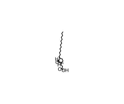 CCCCCCCCCCCCCC=C1CC[C@@](C)(CCC(=O)O)[C@@H]2O[C@H]12